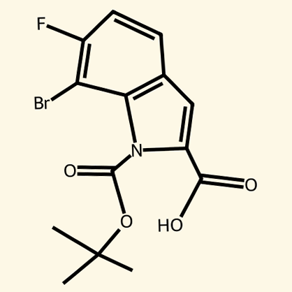 CC(C)(C)OC(=O)n1c(C(=O)O)cc2ccc(F)c(Br)c21